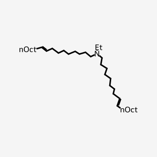 CCCCCCCCC=CCCCCCCCCN(CC)CCCCCCCCC=CCCCCCCCC